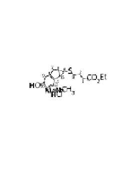 CCOC(=O)CCCSC1C2Cc3cc(O)ccc3C21.CNC.Cl